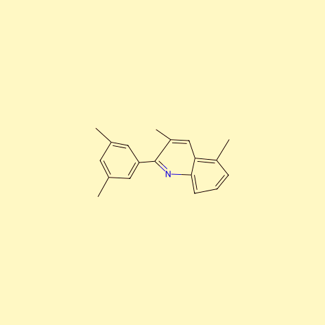 Cc1cc(C)cc(-c2nc3cccc(C)c3cc2C)c1